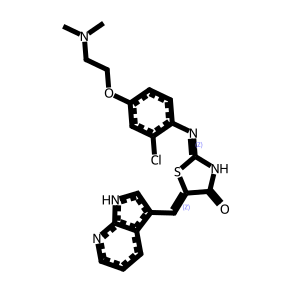 CN(C)CCOc1ccc(/N=C2/NC(=O)/C(=C/c3c[nH]c4ncccc34)S2)c(Cl)c1